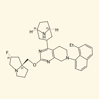 CCc1cccc2cccc(N3CCc4c(nc(OC[C@@]56CCCN5C[C@H](F)C6)nc4C4C[C@H]5CC[C@@H](C4)N5)C3)c12